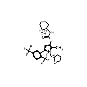 Cc1c(OC(=O)N[C@@H]2CCCC[C@H]2O)cc(-c2cc(C(F)(F)F)ccc2C(F)(F)F)n1C[C@H]1CCCO1